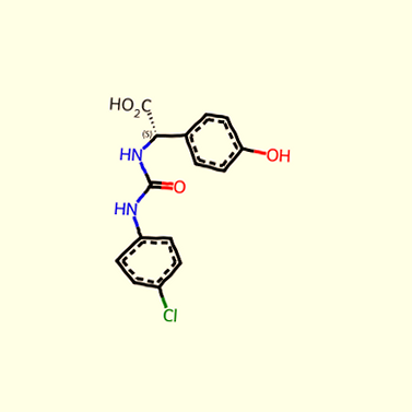 O=C(Nc1ccc(Cl)cc1)N[C@H](C(=O)O)c1ccc(O)cc1